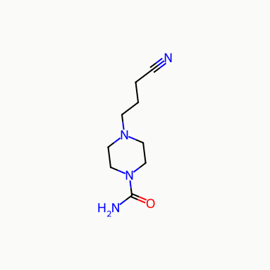 N#CCCCN1CCN(C(N)=O)CC1